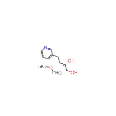 CCCCOC=O.OC[C@@H](O)CCc1cccnc1